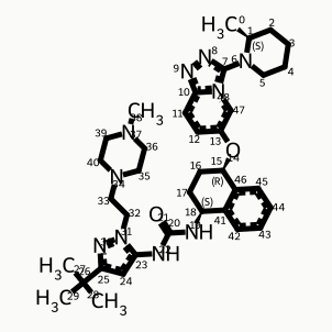 C[C@H]1CCCCN1c1nnc2ccc(O[C@@H]3CC[C@H](NC(=O)Nc4cc(C(C)(C)C)nn4CCN4CCN(C)CC4)c4ccccc43)cn12